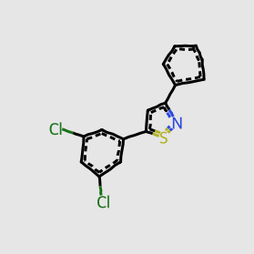 Clc1cc(Cl)cc(-c2cc(-c3ccccc3)ns2)c1